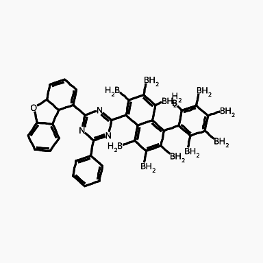 Bc1c(B)c(B)c(-c2c(B)c(B)c(B)c3c(-c4nc(C5=CC=CC6Oc7ccccc7C56)nc(-c5ccccc5)n4)c(B)c(B)c(B)c23)c(B)c1B